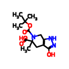 CC(C)(C)OC(=O)N1Cc2[nH]nc(O)c2CC1(C)C(=O)O